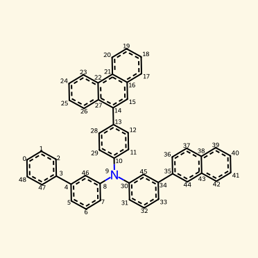 c1ccc(-c2cccc(N(c3ccc(-c4cc5ccccc5c5ccccc45)cc3)c3cccc(-c4ccc5ccccc5c4)c3)c2)cc1